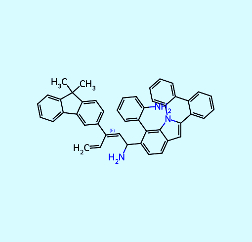 C=C/C(=C\C(N)c1ccc2cc3c4ccccc4c4ccccc4n3c2c1-c1ccccc1N)c1ccc2c(c1)-c1ccccc1C2(C)C